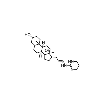 C[C@]12CCC(O)CC1CC[C@@H]1[C@H]2CC[C@]2(C)C(C/C=N/NC3=NCCCN3)CC[C@@]12O